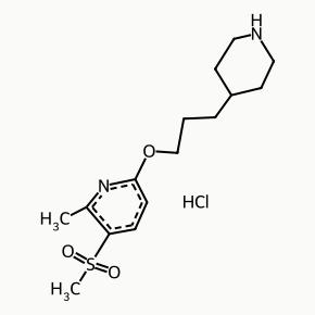 Cc1nc(OCCCC2CCNCC2)ccc1S(C)(=O)=O.Cl